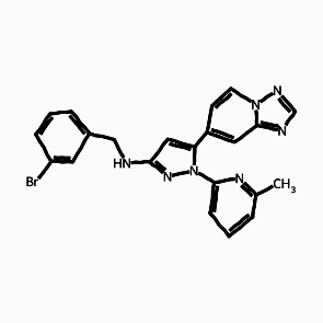 Cc1cccc(-n2nc(NCc3cccc(Br)c3)cc2-c2ccn3ncnc3c2)n1